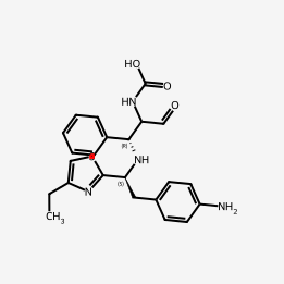 CCc1csc([C@H](Cc2ccc(N)cc2)N[C@H](c2ccccc2)C(C=O)NC(=O)O)n1